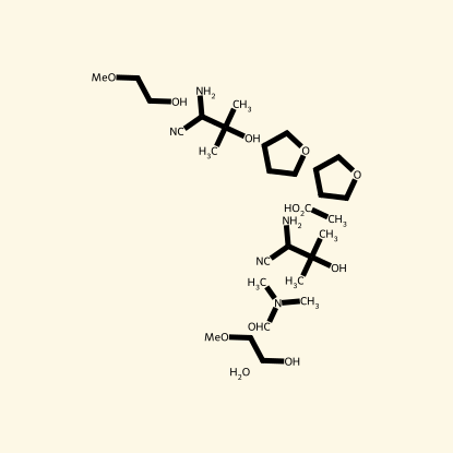 C1CCOC1.C1CCOC1.CC(=O)O.CC(C)(O)C(N)C#N.CC(C)(O)C(N)C#N.CN(C)C=O.COCCO.COCCO.O